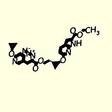 CCOC(=O)c1cc2ccc(OC3C[C@@H]3CCOC(=O)/C(=C/c3ccc(OC4CC4)nc3)N=[N+]=[N-])nc2[nH]1